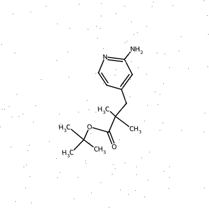 CC(C)(C)OC(=O)C(C)(C)Cc1ccnc(N)c1